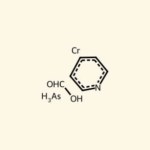 O=CO.[AsH3].[Cr].c1ccncc1